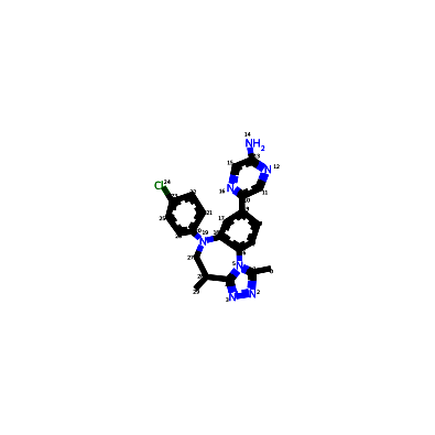 Cc1nnc2n1-c1ccc(-c3cnc(N)cn3)cc1N(c1ccc(Cl)cc1)CC2C